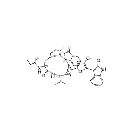 CCC(=O)N[C@H]1Cc2ccc(C)c(c2)[C@@]2(c3ccccc3NC2C)c2oc(nc2-c2nc(Cl)c(-c3c(Cl)[nH]c4ccccc34)o2)[C@H](C(C)C)NC1=O